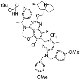 C=C1CN2CCC[C@@]2(COc2nc3c4c(c(Cl)c(-c5nc(N(Cc6ccc(OC)cc6)Cc6ccc(OC)cc6)cc(C)c5C(F)(F)F)c(F)c4n2)OCCN3[C@H](C)c2cccnc2NC(=O)OC(C)(C)C)C1